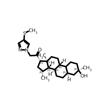 CSc1cnn(CC(=O)[C@H]2C[C@@H](C)[C@H]3[C@@H]4CC[C@@H]5C[C@](C)(O)CCC5[C@H]4CC[C@@]32C)c1